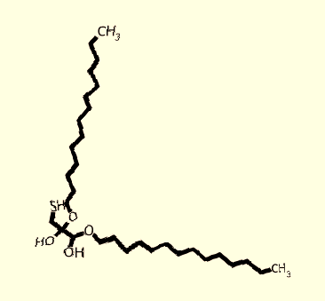 CCCCCCCCCCCCCCOC(O)C(O)(CS)OCCCCCCCCCCCCCC